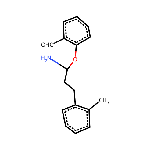 Cc1ccccc1CCC(N)Oc1ccccc1C=O